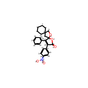 O=C1OC2(CC3(CCCCC3)CO2)C(c2ccccc2)=C1c1ccc([N+](=O)[O-])cc1